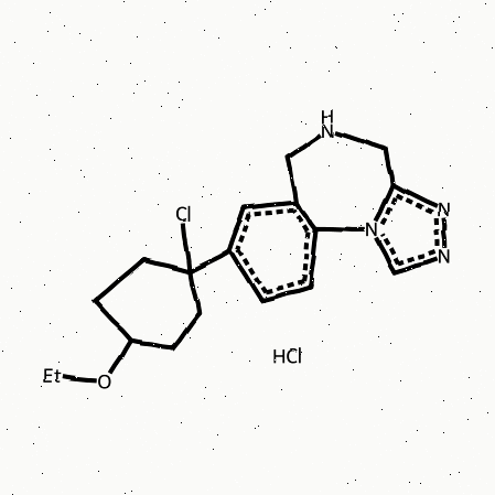 CCOC1CCC(Cl)(c2ccc3c(c2)CNCc2nncn2-3)CC1.Cl